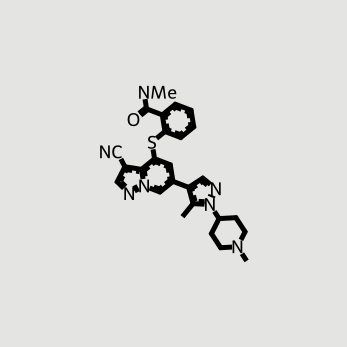 CNC(=O)c1ccccc1Sc1cc(-c2cnn(C3CCN(C)CC3)c2C)cn2ncc(C#N)c12